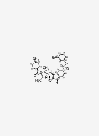 Cc1[nH]c(/C=C2\C(=O)Nc3ccc(S(=O)(=O)Cc4cccc(Br)c4)cc32)c(C)c1C(=O)N1CCN(C)CC1